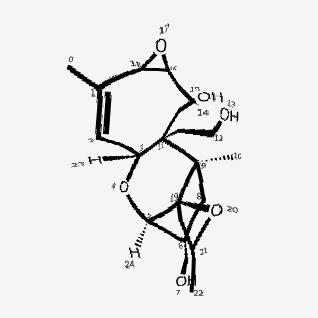 CC1=C[C@H]2O[C@@H]3[C@H](O)C[C@](C)([C@@]2(CO)[C@H](O)C2OC12)[C@@]31OC1C